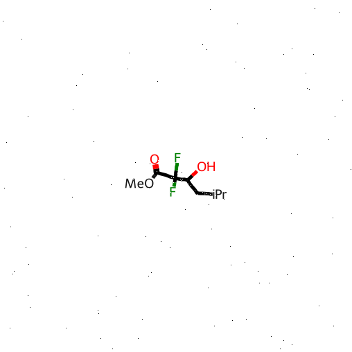 COC(=O)C(F)(F)C(O)CC(C)C